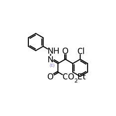 CCOC(=O)C(=O)/C(=N/Nc1ccccc1)C(=O)c1ccccc1Cl